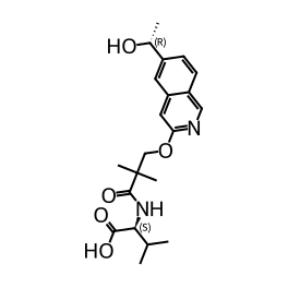 CC(C)[C@H](NC(=O)C(C)(C)COc1cc2cc([C@@H](C)O)ccc2cn1)C(=O)O